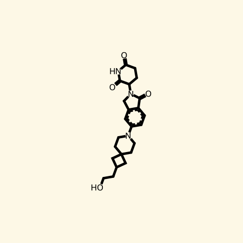 O=C1CCC(N2Cc3cc(N4CCC5(CC4)CC(CCO)C5)ccc3C2=O)C(=O)N1